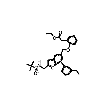 CCOC(=O)Cc1ccccc1OCc1cc(-c2cccc(CC)c2)c2oc(CN[S@+]([O-])C(C)(C)C)cc2c1